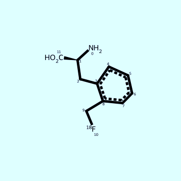 N[C@@H](Cc1ccccc1C[18F])C(=O)O